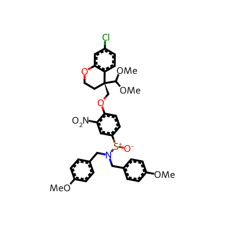 COc1ccc(CN(Cc2ccc(OC)cc2)[S+]([O-])c2ccc(OC[C@@]3(C(OC)OC)CCOc4cc(Cl)ccc43)c([N+](=O)[O-])c2)cc1